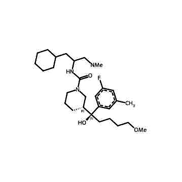 CNCC(CC1CCCCC1)NC(=O)N1CCC[C@@H]([C@@](O)(CCCCOC)c2cc(C)cc(F)c2)C1